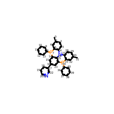 Cc1ccc2c(c1)P(c1ccccc1)c1cc(-c3cccnc3)cc3c1N2c1ccc(C)cc1P3c1ccccc1